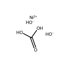 O=C(O)O.[Ni+2].[OH-].[OH-]